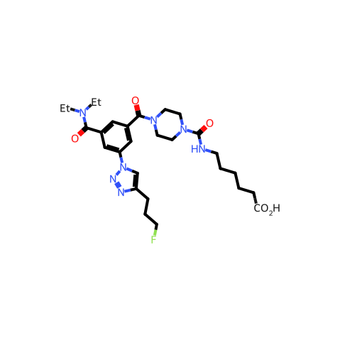 CCN(CC)C(=O)c1cc(C(=O)N2CCN(C(=O)NCCCCCC(=O)O)CC2)cc(-n2cc(CCCF)nn2)c1